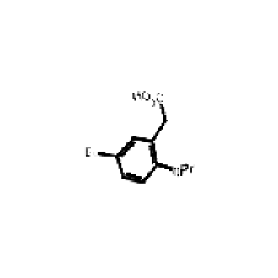 CCCc1ccc(CC)cc1CC(=O)O